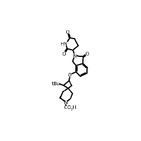 CC(C)(C)C1C(Oc2cccc3c2CN(C2CCC(=O)NC2=O)C3=O)CC12CCN(C(=O)O)CC2